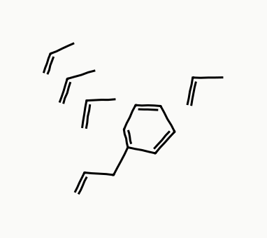 C=CC.C=CC.C=CC.C=CC.C=CCc1ccccc1